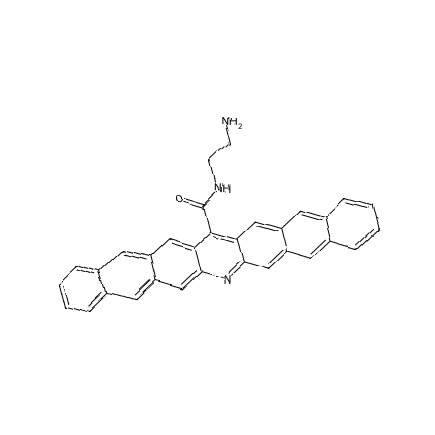 NCCNC(=O)c1c2cc3cc4ccccc4cc3cc2nc2cc3cc4ccccc4cc3cc12